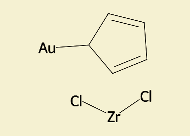 [Au][CH]1C=CC=C1.[Cl][Zr][Cl]